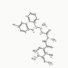 C=N/C(C(=O)N[C@@H](C)C(=O)O[C@@H](C)[C@H](Oc1ccc(F)cc1)c1ccccc1)=C(O)\C(=C/C)OC